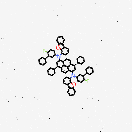 Fc1ccc(N(c2cc(-c3ccccc3)c3ccc4c(N(c5ccc(F)c(-c6ccccc6)c5)c5cccc6c5oc5ccccc56)cc(-c5ccccc5)c5ccc2c3c54)c2cccc3c2oc2ccccc23)cc1-c1ccccc1